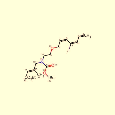 C=C/C=C(I)\C=C/COCCN(C/C(C)=C/C(=O)OCC)C(=O)OC(C)(C)C